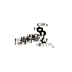 COc1cc2ccn(C3OC(C)C(O)C3O)c(=O)c2cc1F.O=P(O)(O)O.O=P(O)(O)O.O=P(O)(O)O